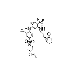 CN1CCN(S(=O)(=O)c2ccc(Nc3cc(NCCCN4CCCCC4=O)c(C(F)(F)F)cn3)c(C3CC3)c2)CC1